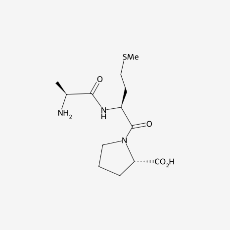 CSCC[C@H](NC(=O)[C@H](C)N)C(=O)N1CCC[C@H]1C(=O)O